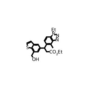 CCOC(=O)CC(c1cc(CO)c2sccc2c1)c1ccc2c(nnn2CC)c1C